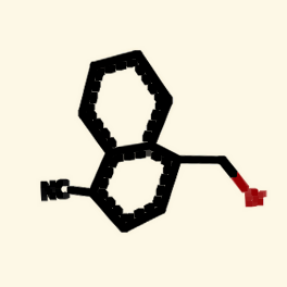 N#Cc1ccc(CBr)c2ccccc12